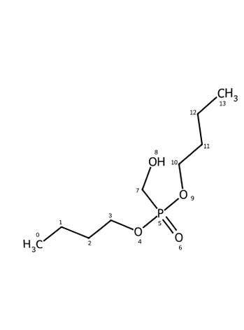 CCCCOP(=O)(CO)OCCCC